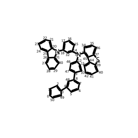 c1ccc(-c2cccc(-c3ccc(N(c4cccc(-n5c6ccccc6c6ccccc65)c4)c4cccc5sc6ccccc6c45)cc3)c2)cc1